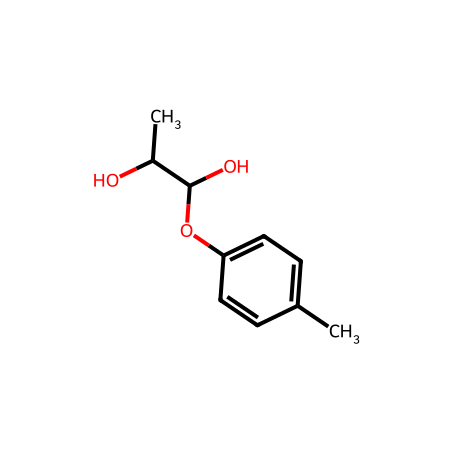 Cc1ccc(OC(O)C(C)O)cc1